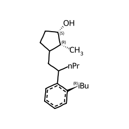 CCCC(CC1CC[C@H](O)[C@@H]1C)c1ccccc1[C@H](C)CC